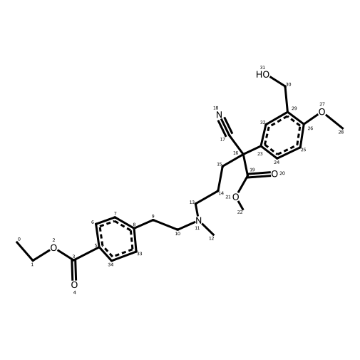 CCOC(=O)c1ccc(CCN(C)CCCC(C#N)(C(=O)OC)c2ccc(OC)c(CO)c2)cc1